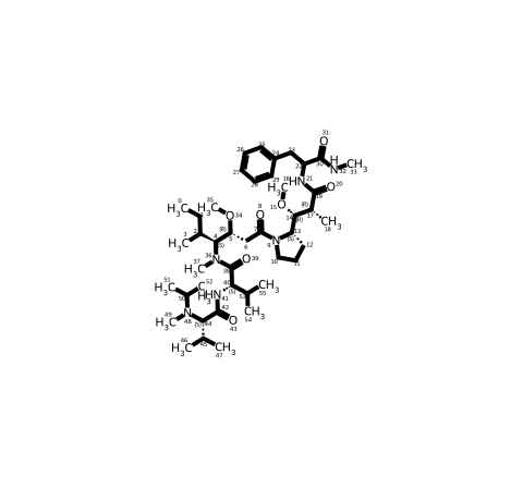 CCC(C)[C@@H]([C@@H](CC(=O)N1CCC[C@H]1[C@H](OC)[C@@H](C)C(=O)NC(Cc1ccccc1)C(=O)NC)OC)N(C)C(=O)[C@@H](NC(=O)[C@H](C(C)C)N(C)C(C)C)C(C)C